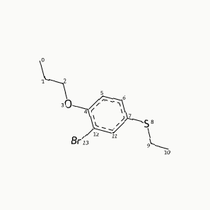 CCCOc1ccc(SCC)cc1Br